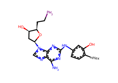 CCCCCCc1ccc(Nc2nc(N)c3ncn([C@H]4C[C@@H](O)[C@@H](CCP)O4)c3n2)cc1O